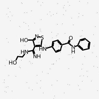 N=C(NCCO)c1c(O)nsc1Nc1ccc(C(=O)Nc2ccccc2)cc1